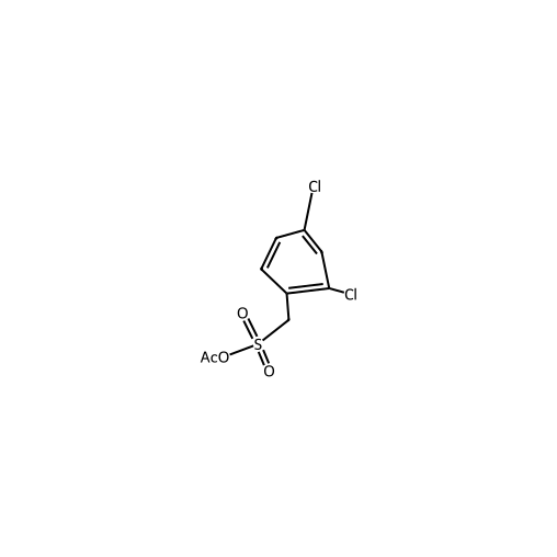 CC(=O)OS(=O)(=O)Cc1ccc(Cl)cc1Cl